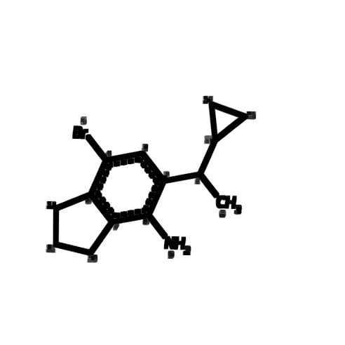 CC(c1cc(Br)c2c(c1N)CCC2)C1CC1